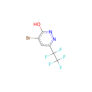 Oc1nnc(C(F)(F)C(F)(F)F)cc1Br